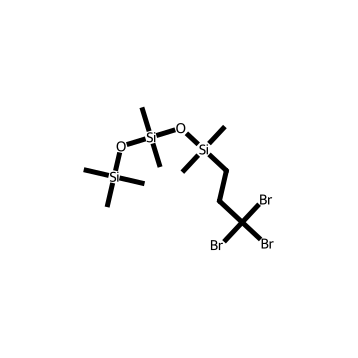 C[Si](C)(C)O[Si](C)(C)O[Si](C)(C)CCC(Br)(Br)Br